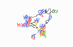 Cc1ncsc1-c1ccc([C@H](C)NC(=O)[C@@H]2C[C@@H](O)CN2C(=O)[C@@H](NC(=O)CCCCCCCC(=O)N2CCCN(CC3(C)CCC(c4ccc(Cl)cc4)=C(CN4CCN(c5ccc(C(=O)NS(=O)(=O)c6ccc(N[C@H](CCN7CCOCC7)CSc7ccccc7)c(S(=O)(=O)C(F)(F)F)c6)cc5)CC4)C3)CC2)C(C)(C)C)cc1